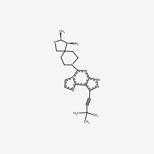 C[C@@H]1OCC2(CCN(c3nc4[nH]nc(C#CC(C)(C)C)c4c4nccn34)CC2)[C@@H]1N